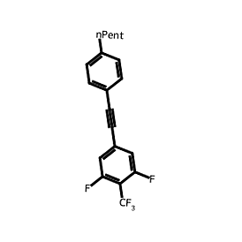 CCCCCc1ccc(C#Cc2cc(F)c(C(F)(F)F)c(F)c2)cc1